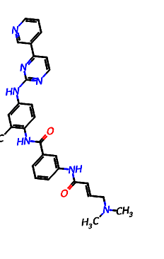 Cc1cc(Nc2nccc(-c3cccnc3)n2)ccc1NC(=O)c1cccc(NC(=O)C=CCN(C)C)c1